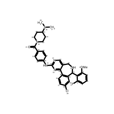 COc1cccc(F)c1C1NCc2cnc(Nc3ccc(C(=O)N4CCC(N(C)C)CC4)cc3)nc2-c2ccc(Cl)cc21